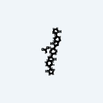 CC(=O)O.c1cc2cc(-c3cnc(-c4cc5ccc(C6=NCCN6)cc5[nH]4)cn3)[nH]c2cc1C1=NCCN1